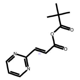 CC(C)(C)C(=O)OC(=O)/C=C/c1ncccn1